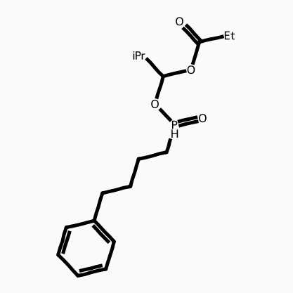 CCC(=O)OC(O[PH](=O)CCCCc1ccccc1)C(C)C